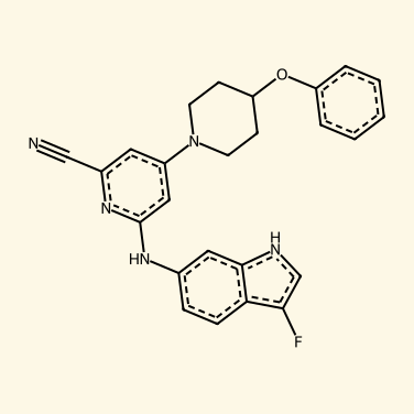 N#Cc1cc(N2CCC(Oc3ccccc3)CC2)cc(Nc2ccc3c(F)c[nH]c3c2)n1